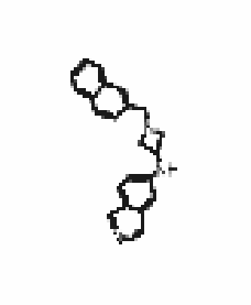 c1ccc2cc(CN3CC(Nc4ccc5cnccc5c4)C3)ccc2c1